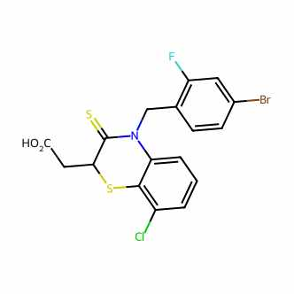 O=C(O)CC1Sc2c(Cl)cccc2N(Cc2ccc(Br)cc2F)C1=S